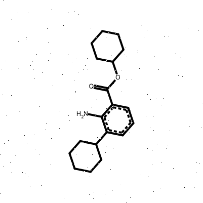 Nc1c(C(=O)OC2CCCCC2)cccc1C1CCCCC1